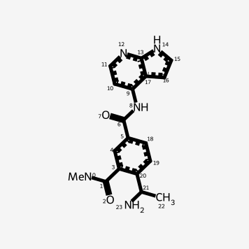 CNC(=O)c1cc(C(=O)Nc2ccnc3[nH]ccc23)ccc1C(C)N